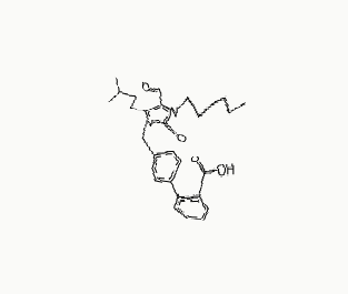 CCCCCn1c(C=O)c(CCC(C)C)n(Cc2ccc(-c3ccccc3C(=O)O)cc2)c1=O